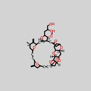 C=C1CC2CC[C@@]34C[C@H]5OC6C(O3)[C@H]3OC(CCC3O[C@H]6C5O4)CC(=O)CC3[C@@H](OC)C(CC(O)CO)O[C@H]3CC3OC(CCC1O2)C[C@@H](C)C3=C